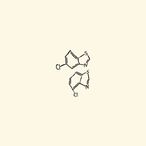 Clc1ccc2scnc2c1.Clc1cccc2scnc12